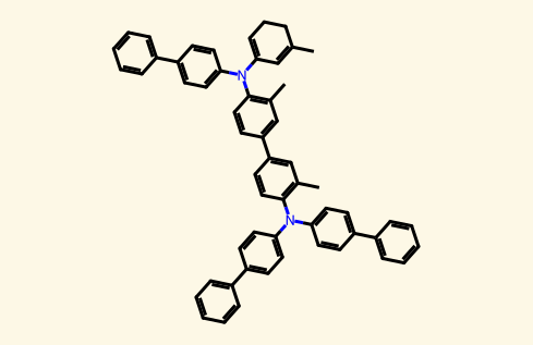 CC1=CC(N(c2ccc(-c3ccccc3)cc2)c2ccc(-c3ccc(N(c4ccc(-c5ccccc5)cc4)c4ccc(-c5ccccc5)cc4)c(C)c3)cc2C)=CCC1